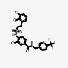 O=C(NCc1ccc(C(F)(F)F)nc1)c1ccc(NS(=O)(=O)CCc2cccc(Cl)c2Cl)c(Cl)c1